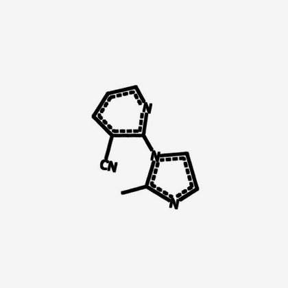 Cc1nccn1-c1ncccc1C#N